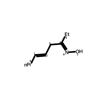 CCCC=CCC(CC)=NO